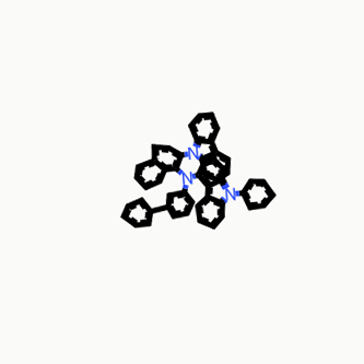 c1ccc(-c2cccc(N(c3c(-n4c5ccccc5c5ccccc54)ccc4ccccc34)c3cccc4c3c3ccccc3n4-c3ccccc3)c2)cc1